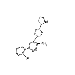 Nc1nnc(-c2ccccc2O)cc1-c1ccc(C2CCCN2)cc1